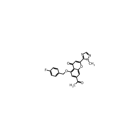 CC(=O)c1cc(OCc2ccc(F)cc2)c2c(=O)cc(-c3ncnn3C)oc2c1